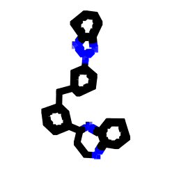 c1cc(Cc2cccc(-n3nc4ccccc4n3)c2)cc(C2CCN=c3ccccc3=N2)c1